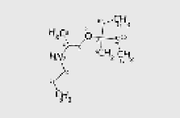 CCCNC(C)COC(C)(CC)SC